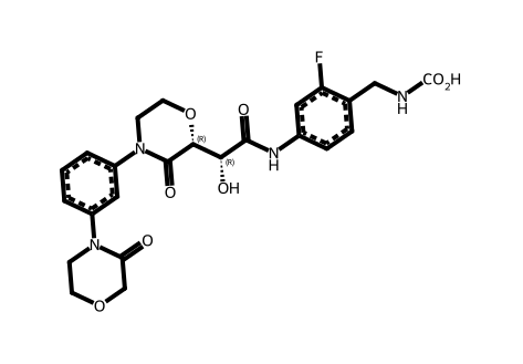 O=C(O)NCc1ccc(NC(=O)[C@H](O)[C@H]2OCCN(c3cccc(N4CCOCC4=O)c3)C2=O)cc1F